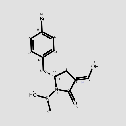 CB(O)N1C(=O)/C(=C/O)C[C@H]1Cc1ccc(Br)cc1